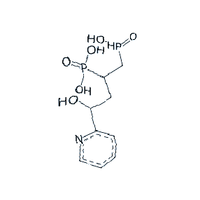 O=[PH](O)CC(CC(O)c1ccccn1)P(=O)(O)O